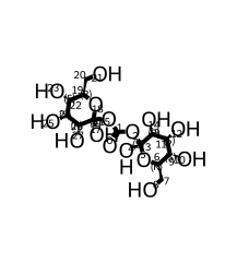 O=C(O[C@@]1(O)O[C@H](CO)[C@@H](O)[C@H](O)[C@H]1O)O[C@@]1(O)O[C@H](CO)[C@@H](O)[C@H](O)[C@H]1O